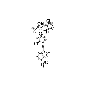 COC(=O)c1cccc2c1ccn2C#Cc1ccc(OCc2c(-c3c(Cl)cccc3Cl)noc2C2CC2)cc1Cl